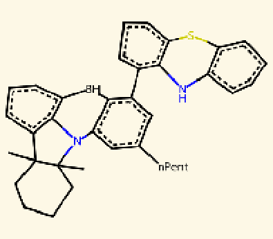 CCCCCc1cc(-c2cccc3c2Nc2ccccc2S3)c2c(c1)N1c3c(cccc3C3(C)CCCCC13C)B2